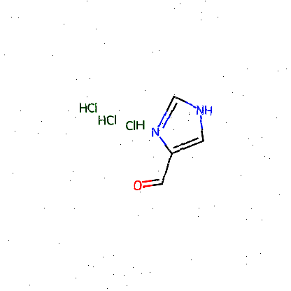 Cl.Cl.Cl.O=Cc1c[nH]cn1